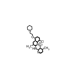 Cc1cc2c(OCCN3CCCCC3)ccc(Cl)c2nc1Nc1nccc(C)c1N